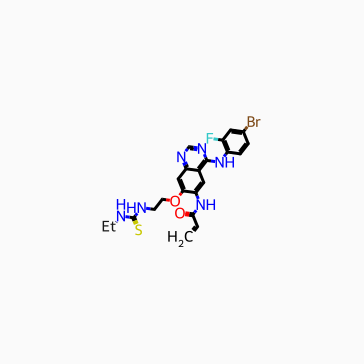 C=CC(=O)Nc1cc2c(Nc3ccc(Br)cc3F)ncnc2cc1OCCNC(=S)NCC